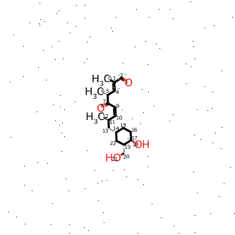 C/C(C=O)=C\[C@@H](C)C(=O)/C=C\[C@H](C)C[C@@H]1CC[C@@H](O)[C@H](CO)C1